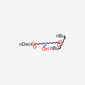 CCCC/C=C\CCC(CC/C=C\CCCC)OC(=O)CCCCCCCN(CCO)CCCCCC(=O)OCCCCCCCCCCC